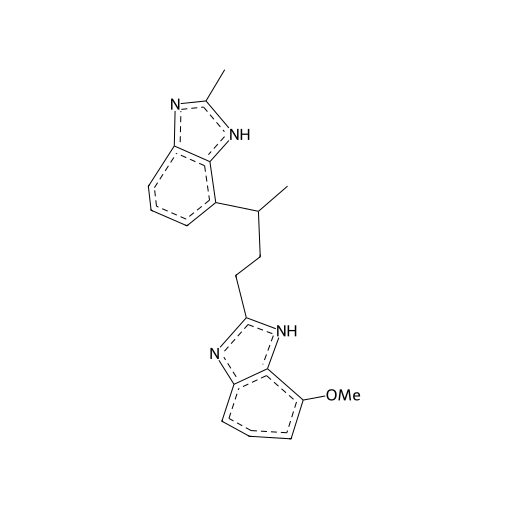 COc1cccc2nc(CCC(C)c3cccc4nc(C)[nH]c34)[nH]c12